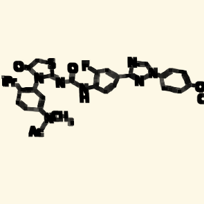 CC(=O)N(C)c1ccc(C(C)C)c(N2C(=O)CS/C2=N\C(=O)Nc2ccc(-c3ncn(-c4ccc(OC(F)(F)F)cc4)n3)cc2F)c1